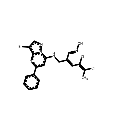 C\C(Cl)=C(Cl)/C=C(\C=N\O)CNc1cc(-c2ccccc2)nc2c(Br)cnn12